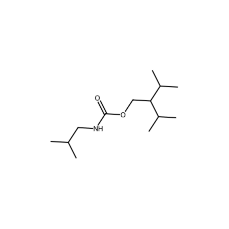 CC(C)CNC(=O)OCC(C(C)C)C(C)C